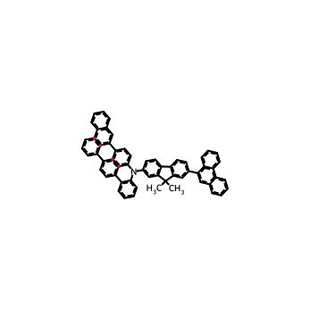 CC1(C)c2cc(-c3cc4ccccc4c4ccccc34)ccc2-c2ccc(N(c3ccc(-c4ccc5ccccc5c4)cc3)c3ccccc3-c3ccc(-c4ccccc4)cc3)cc21